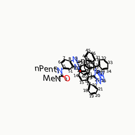 CCCCCN(C(=O)NC)c1ccc2nc(CCCC)n(-c3ccc(-c4ccccc4)c(-c4nnnn4C(c4ccccc4)(c4ccccc4)c4ccccc4)c3C)c2c1